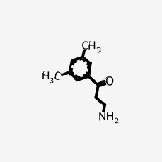 Cc1cc(C)cc(C(=O)CCN)c1